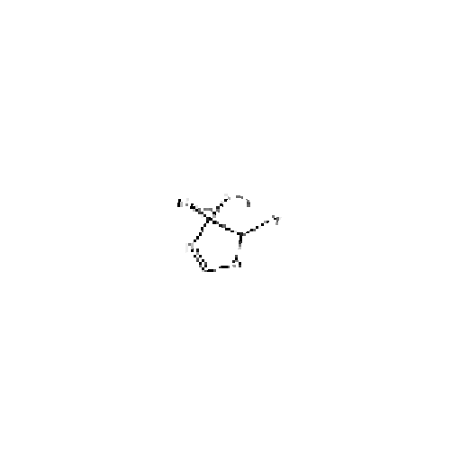 CC[C@]1(C)N=COC1C(C)C